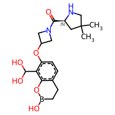 CC1(C)CN[C@H](C(=O)N2CC(Oc3ccc4c(c3C(O)O)OB(O)CC4)C2)C1